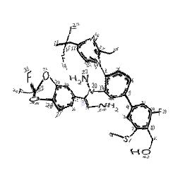 CSc1cc(-c2ccc(-n3cc(C(C)(F)F)nc3C)c(N(N)/C(=C\N)c3ccc4c(c3)OC(F)(F)O4)c2)cc(F)c1CO